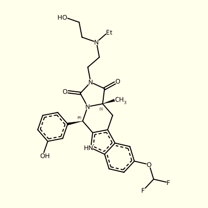 CCN(CCO)CCN1C(=O)N2[C@H](c3cccc(O)c3)c3[nH]c4ccc(OC(F)F)cc4c3C[C@@]2(C)C1=O